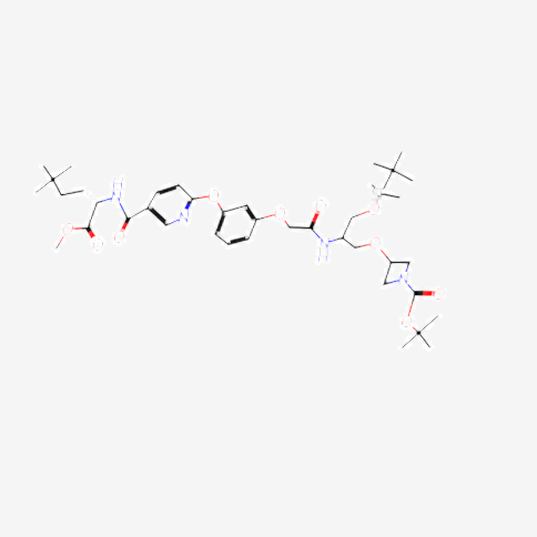 COC(=O)[C@H](CCC(C)(C)C)NC(=O)c1ccc(Oc2cccc(OCC(=O)NC(COC3CN(C(=O)OC(C)(C)C)C3)CO[Si](C)(C)C(C)(C)C)c2)nc1